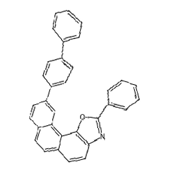 c1ccc(-c2ccc(-c3ccc4ccc5ccc6nc(-c7ccccc7)oc6c5c4c3)cc2)cc1